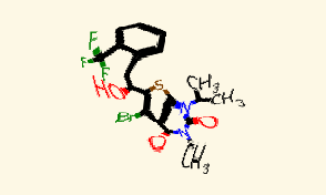 CC(C)n1c(=O)n(C)c(=O)c2c(Br)c(C(O)c3ccccc3C(F)(F)F)sc21